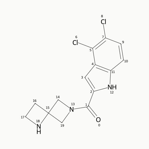 O=C(c1cc2c(Cl)c(Cl)ccc2[nH]1)N1CC2(CCN2)C1